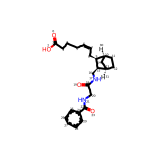 O=C(O)CCC/C=C\C[C@H]1[C@H]2CC[C@H](C2)[C@H]1CNC(=O)CNC(=O)c1ccccc1